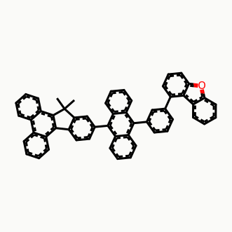 CC1(C)c2cc(-c3c4ccccc4c(-c4cccc(-c5cccc6oc7ccccc7c56)c4)c4ccccc34)ccc2-c2c1c1ccccc1c1ccccc21